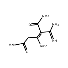 CNC(=N)/C(C(=O)NC)=C(/CC(=O)NC)NC